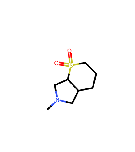 CN1CC2CCCS(=O)(=O)C2C1